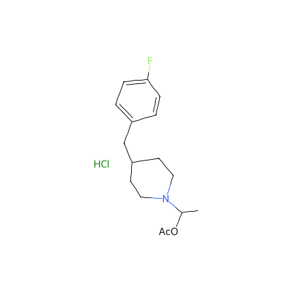 CC(=O)OC(C)N1CCC(Cc2ccc(F)cc2)CC1.Cl